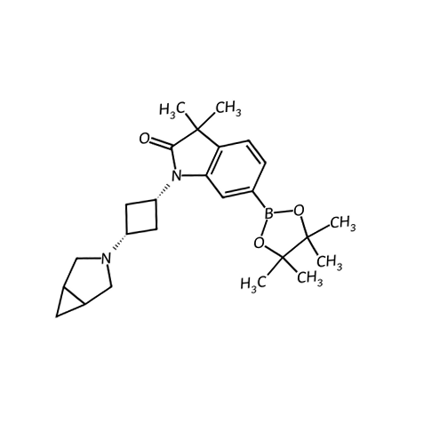 CC1(C)C(=O)N([C@H]2C[C@@H](N3CC4CC4C3)C2)c2cc(B3OC(C)(C)C(C)(C)O3)ccc21